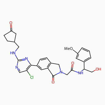 COc1cccc(C(CO)NC(=O)CN2Cc3ccc(-c4nc(NCC5CCC(=O)C5)ncc4Cl)cc3C2=O)c1